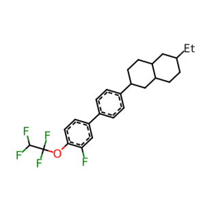 CCC1CCC2CC(c3ccc(-c4ccc(OC(F)(F)C(F)F)c(F)c4)cc3)CCC2C1